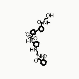 COc1ccccc1C(=O)NCCNc1cccc(NS(=O)(=O)c2cc(-c3cccc(C(=O)NCCO)c3)ccc2OC)c1